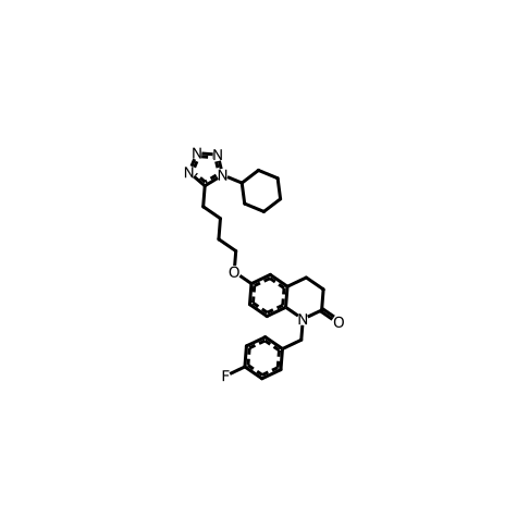 O=C1CCc2cc(OCCCCc3nnnn3C3CCCCC3)ccc2N1Cc1ccc(F)cc1